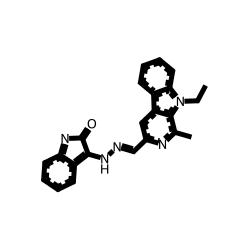 CCn1c2ccccc2c2cc(C=NNC3=c4ccccc4=NC3=O)nc(C)c21